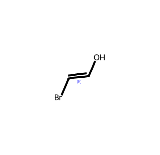 O/C=C/Br